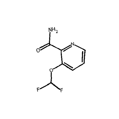 NC(=O)c1ncccc1OC(F)F